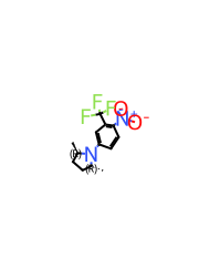 C[C@@H]1CC[C@@H](C)N1c1ccc([N+](=O)[O-])c(C(F)(F)F)c1